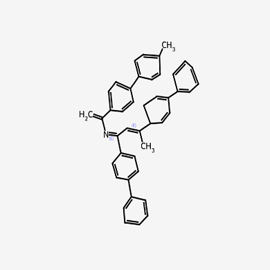 C=C(/N=C(\C=C(/C)C1C=CC(c2ccccc2)=CC1)c1ccc(-c2ccccc2)cc1)c1ccc(-c2ccc(C)cc2)cc1